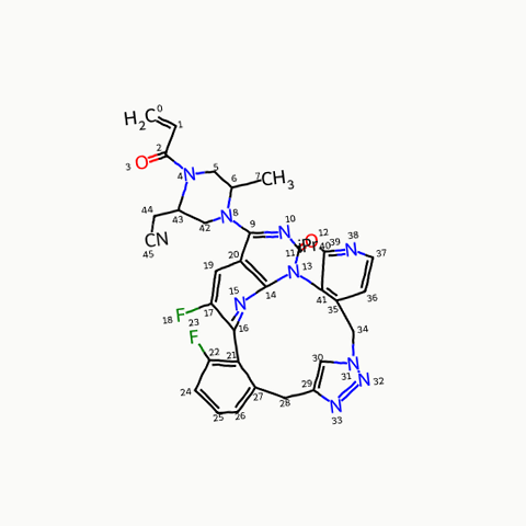 C=CC(=O)N1CC(C)N(c2nc(=O)n3c4nc(c(F)cc24)-c2c(F)cccc2Cc2cn(nn2)Cc2ccnc(C(C)C)c2-3)CC1CC#N